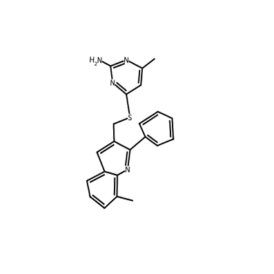 Cc1cc(SCc2cc3cccc(C)c3nc2-c2ccccc2)nc(N)n1